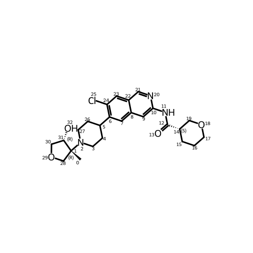 C[C@@]1(N2CCC(c3cc4cc(NC(=O)[C@H]5CCCOC5)ncc4cc3Cl)CC2)COC[C@@H]1O